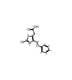 O=C(O)Cc1sc(Cl)nc1COc1ccccc1